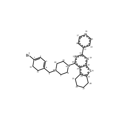 BrC1=CC=C(CN2CCN(c3nc(-c4ccncc4)nc4sc5c(c34)CCCC5)CC2)CC1